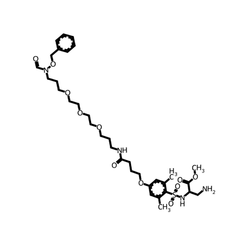 COC(=O)C(CN)NS(=O)(=O)c1c(C)cc(OCCCC(=O)NCCCOCCOCCOCCCN(C=O)OCc2ccccc2)cc1C